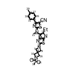 CCc1nc2sc(N3CC4(C3)CN(S(C)(=O)=O)C4)nn2c1N(C)c1nc(-c2ccc(C)cc2)c(C#N)s1